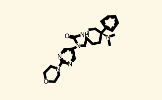 CN(C)[C@]1(c2ccccc2)CC[C@]2(CC1)CN(c1cnc(N3CCOCC3)nc1)C(=O)N2